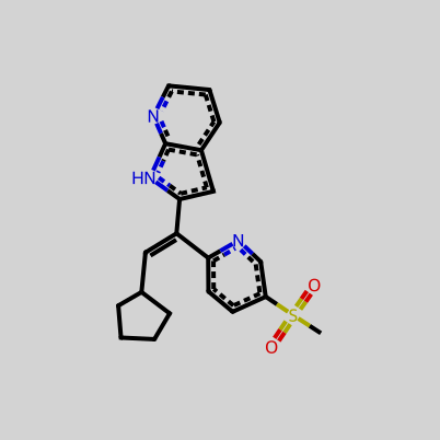 CS(=O)(=O)c1ccc(C(=CC2CCCC2)c2cc3cccnc3[nH]2)nc1